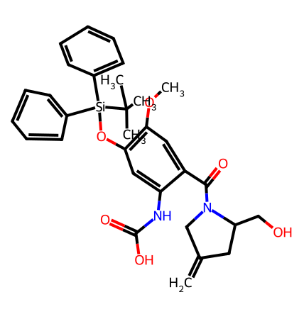 C=C1CC(CO)N(C(=O)c2cc(OC)c(O[Si](c3ccccc3)(c3ccccc3)C(C)(C)C)cc2NC(=O)O)C1